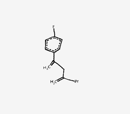 C=C(CC(=C)C(C)C)c1ccc(F)cc1